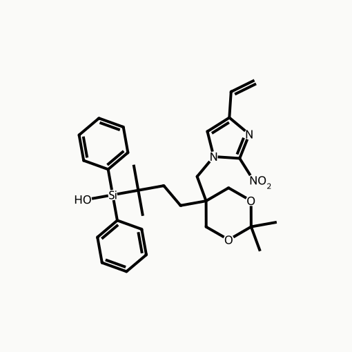 C=Cc1cn(CC2(CCC(C)(C)[Si](O)(c3ccccc3)c3ccccc3)COC(C)(C)OC2)c([N+](=O)[O-])n1